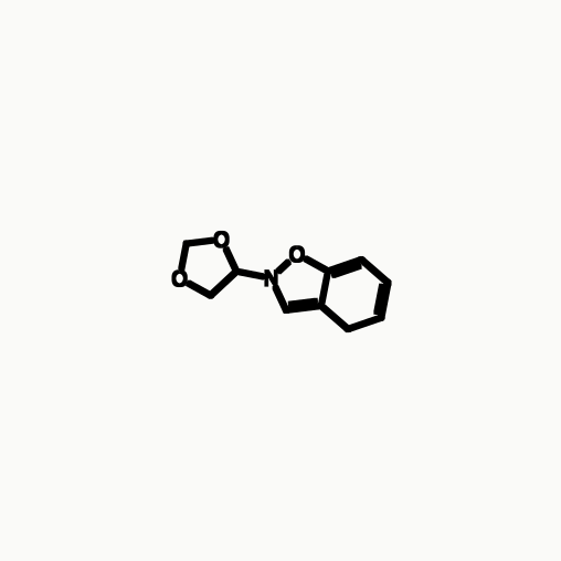 C1=CCC2=CN(C3COCO3)OC2=C1